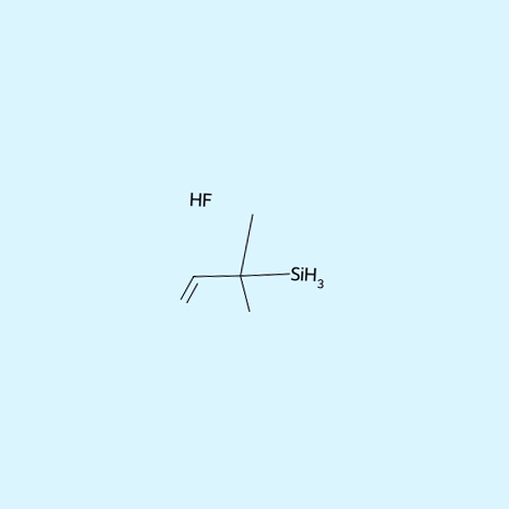 C=CC(C)(C)[SiH3].F